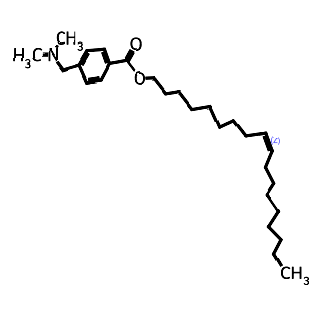 CCCCCCCC/C=C\CCCCCCCCOC(=O)c1ccc(CN(C)C)cc1